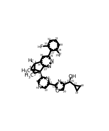 CC1(C)[C@H]2CC[C@@]1(c1cncc(-c3nc([C@@H](O)C4CC4)co3)n1)c1nnc(-c3c(F)cccc3F)cc12